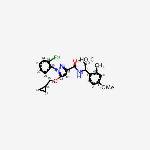 COc1ccc(C(CC(=O)O)NC(=O)c2cc(OCC3CC3)n(-c3ccccc3F)n2)c(C)c1